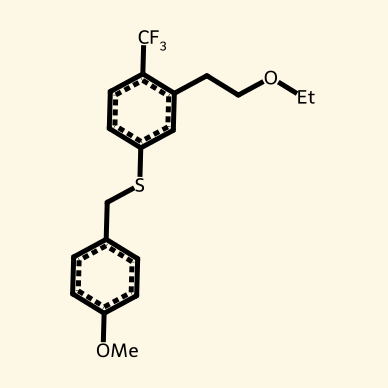 CCOCCc1cc(SCc2ccc(OC)cc2)ccc1C(F)(F)F